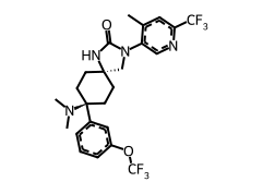 Cc1cc(C(F)(F)F)ncc1N1C[C@]2(CC[C@](c3cccc(OC(F)(F)F)c3)(N(C)C)CC2)NC1=O